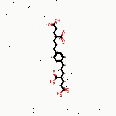 O=C(O)CCC(CCCc1ccc(CCCC(CCC(=O)O)C(=O)O)cc1)C(=O)O